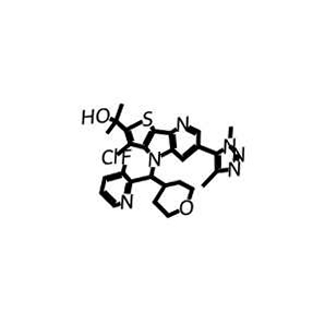 Cc1nnn(C)c1-c1cnc2c3sc(C(C)(C)O)c(Cl)c3n(C(c3ncccc3F)C3CCOCC3)c2c1